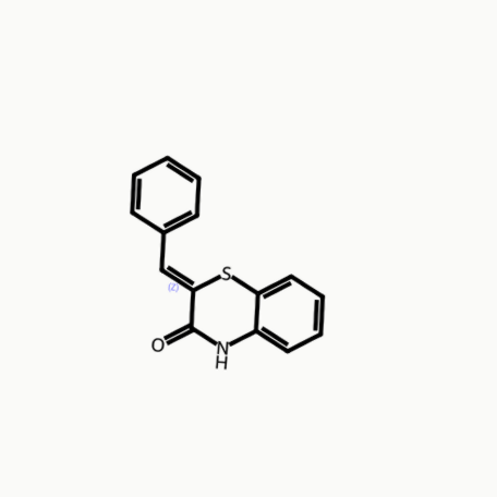 O=C1Nc2ccccc2S/C1=C\c1ccccc1